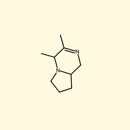 CC1=NCC2CCCN2C1C